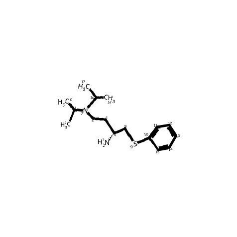 CC(C)N(CC[C@@H](N)CSc1ccccc1)C(C)C